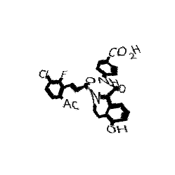 CC(=O)c1ccc(Cl)c(F)c1/C=C/C(=O)N1CCc2c(O)cccc2C1C(=O)Nc1ccc(C(=O)O)cc1